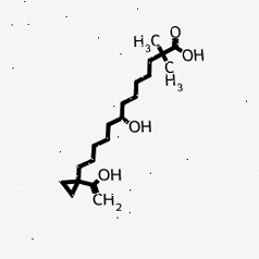 C=C(O)C1(CCCCCC(O)CCCCCC(C)(C)C(=O)O)CC1